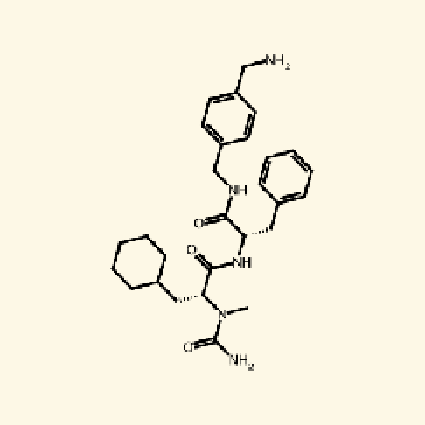 CN(C(N)=O)[C@H](CC1CCCCC1)C(=O)N[C@@H](Cc1ccccc1)C(=O)NCc1ccc(CN)cc1